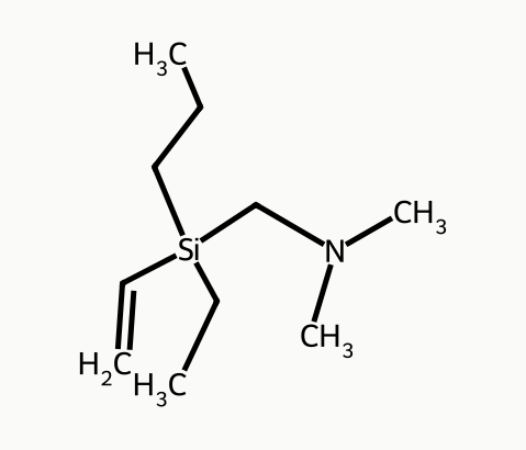 C=C[Si](CC)(CCC)CN(C)C